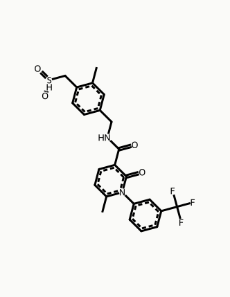 Cc1cc(CNC(=O)c2ccc(C)n(-c3cccc(C(F)(F)F)c3)c2=O)ccc1C[SH](=O)=O